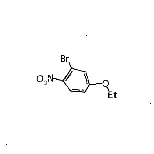 CCOc1ccc([N+](=O)[O-])c(Br)c1